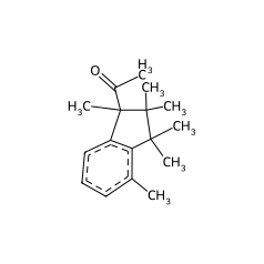 CC(=O)C1(C)c2cccc(C)c2C(C)(C)C1(C)C